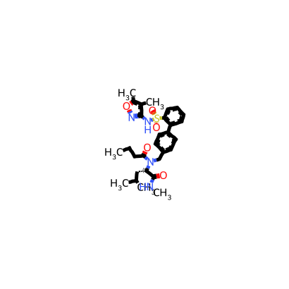 CCCC(=O)N(Cc1ccc(-c2ccccc2S(=O)(=O)Nc2noc(C)c2C)cc1)[C@@H](CC(C)C)C(=O)NC